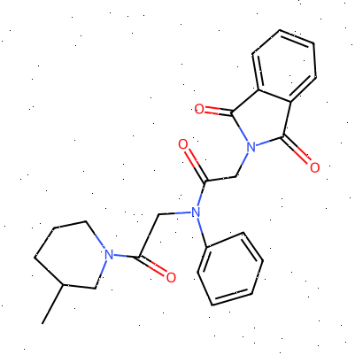 CC1CCCN(C(=O)CN(C(=O)CN2C(=O)c3ccccc3C2=O)c2ccccc2)C1